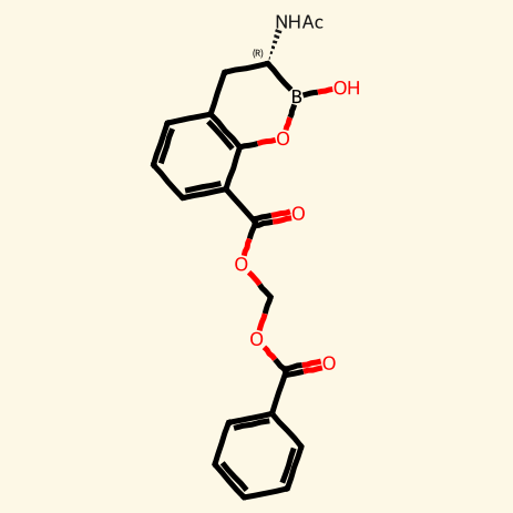 CC(=O)N[C@H]1Cc2cccc(C(=O)OCOC(=O)c3ccccc3)c2OB1O